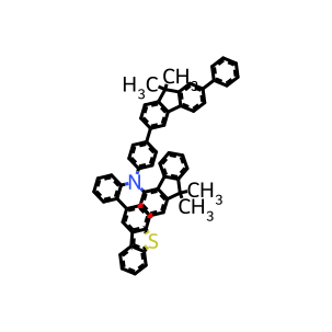 CC1(C)c2ccc(-c3ccc(N(c4ccccc4-c4ccc5sc6ccccc6c5c4)c4cccc5c4-c4ccccc4C5(C)C)cc3)cc2-c2ccc(-c3ccccc3)cc21